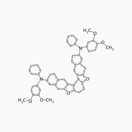 COc1ccc(N(c2ccccc2)c2ccc3cc4c(cc3c2)oc2ccc3oc5cc6cc(N(c7ccccc7)c7ccc(OC)c(OC)c7)ccc6cc5c3c24)cc1OC